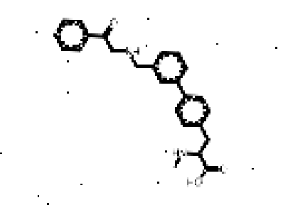 CNC(Cc1ccc(-c2cccc(CNCC(=O)c3ccccc3)c2)cc1)C(=O)O